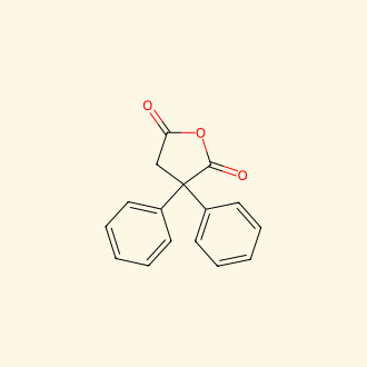 O=C1CC(c2ccccc2)(c2ccccc2)C(=O)O1